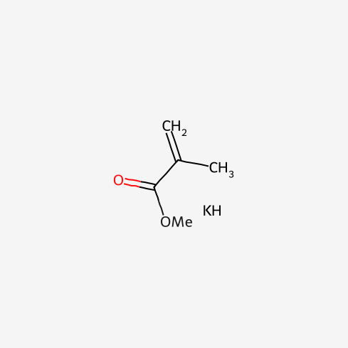 C=C(C)C(=O)OC.[KH]